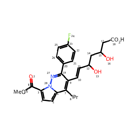 COC(=O)c1ccc2c(C(C)C)c(/C=C/C(O)CC(O)CC(=O)O)c(-c3ccc(F)cc3)nn12